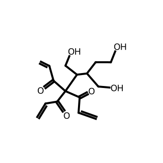 C=CC(=O)C(C(=O)C=C)(C(=O)C=C)C(CO)C(CO)CCO